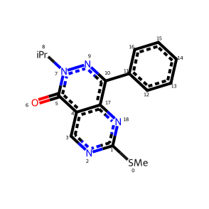 CSc1ncc2c(=O)n(C(C)C)nc(-c3ccccc3)c2n1